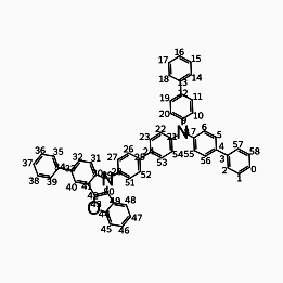 c1ccc(-c2ccc(N(c3ccc(-c4ccccc4)cc3)c3ccc(-c4ccc(-n5c6ccc(-c7ccccc7)cc6c6oc7ccccc7c65)cc4)cc3)cc2)cc1